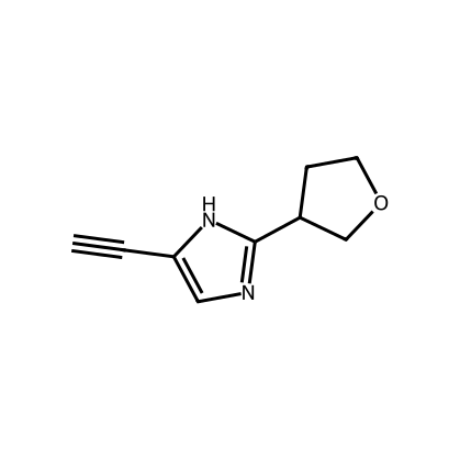 C#Cc1cnc(C2CCOC2)[nH]1